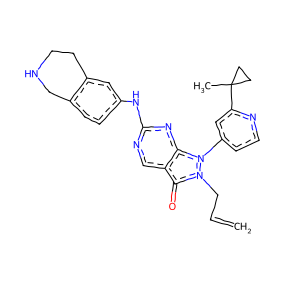 C=CCn1c(=O)c2cnc(Nc3ccc4c(c3)CCNC4)nc2n1-c1ccnc(C2(C)CC2)c1